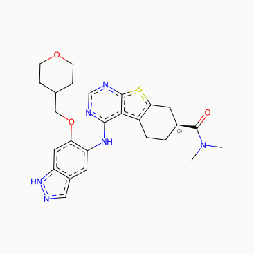 CN(C)C(=O)[C@H]1CCc2c(sc3ncnc(Nc4cc5cn[nH]c5cc4OCC4CCOCC4)c23)C1